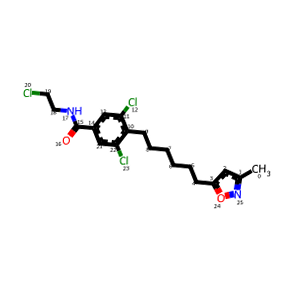 Cc1cc(CCCCCCc2c(Cl)cc(C(=O)NCCCl)cc2Cl)on1